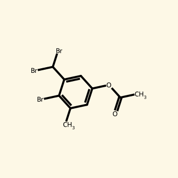 CC(=O)Oc1cc(C)c(Br)c(C(Br)Br)c1